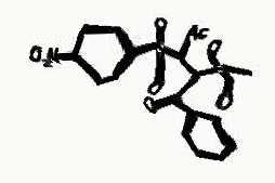 CC(=O)C(C(C(=O)c1ccccc1)S(C)(=O)=O)S(=O)(=O)c1ccc([N+](=O)[O-])cc1